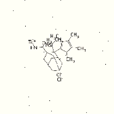 CC1=C(C)C(C)C(C2([SiH](C)C)C3CC4CC(C3)CC2(C(=O)[NH][Ti+2])C4)=C1C.[Cl-].[Cl-]